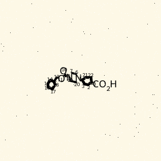 O=C(O)c1ccc(N2CCN(C(=O)OCc3ccccc3)CC2)cc1